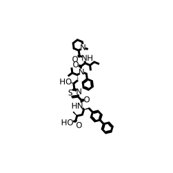 CCC(C)C(NC(=O)C1CCCCN1C)C(=O)N(Cc1ccccc1)[C@H](C[C@@H](O)c1nc(C(=O)N[C@@H](Cc2ccc(-c3ccccc3)cc2)C[C@H](C)C(=O)O)cs1)C(C)C